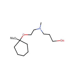 COC1(OCCN(C)CCCO)CCCCC1